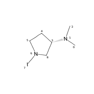 CN(C)[C@H]1CCN(I)C1